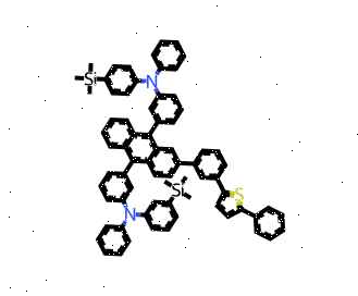 C[Si](C)(C)c1ccc(N(c2ccccc2)c2cccc(-c3c4ccccc4c(-c4cccc(N(c5ccccc5)c5cccc([Si](C)(C)C)c5)c4)c4ccc(-c5cccc(-c6ccc(-c7ccccc7)s6)c5)cc34)c2)cc1